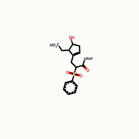 CCCCCCCCCC(=O)C(CC1=CCC(O)C1CC(=O)O)S(=O)(=O)c1ccccc1